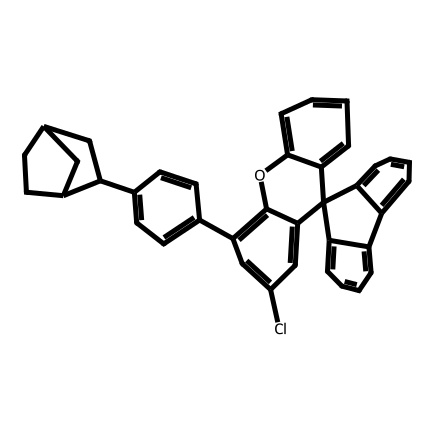 Clc1cc(-c2ccc(C3CC4CCC3C4)cc2)c2c(c1)C1(c3ccccc3O2)c2ccccc2-c2ccccc21